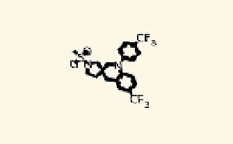 CS(=O)(=O)N1CCC2(Cc3cc(C(F)(F)F)ccc3N(c3ccc(C(F)(F)F)cc3)C2)C1